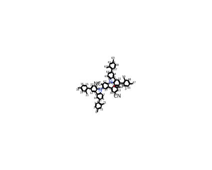 Cc1ccc(-c2ccc3c(c2)c2cc(-c4ccc(C)cc4C)ccc2n3-c2cc(-c3cc(C#N)cc(C(F)(F)F)c3)c(-n3c4ccc(-c5ccc(C)cc5C)cc4c4cc(-c5ccc(C)cc5C)ccc43)cc2C#N)c(C)c1